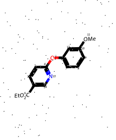 CCOC(=O)c1ccc(Oc2cccc(OC)c2)nc1